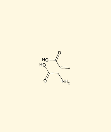 C=CC(=O)O.NCC(=O)O